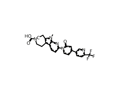 Cn1c2c(c3ccc(-n4ccc(-c5ccc(C(F)(F)F)nc5)cc4=O)nc31)CCN(C(=O)O)CC2